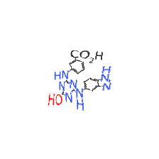 O=C(O)c1cccc(Nc2nc(O)nc(Nc3ccc4[nH]cnc4c3)n2)c1